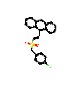 O=S(=O)(C=Cc1c2ccccc2cc2ccccc12)Cc1ccc(Cl)cc1